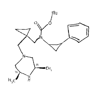 C[C@@H]1CN(CC2(CN(C(=O)OC(C)(C)C)C3CC3c3ccccc3)CC2)C[C@H](C)N1